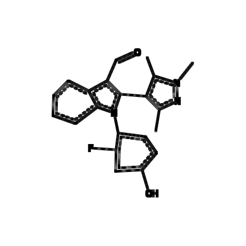 Cc1nn(C)c(C)c1-c1c(C=O)c2ccccc2n1-c1ccc(O)cc1F